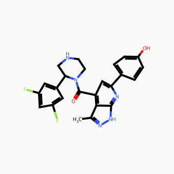 Cc1n[nH]c2nc(-c3ccc(O)cc3)cc(C(=O)N3CCNCC3c3cc(F)cc(F)c3)c12